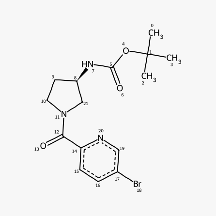 CC(C)(C)OC(=O)N[C@@H]1CCN(C(=O)c2ccc(Br)cn2)C1